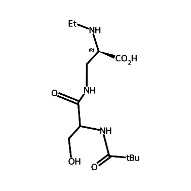 CCN[C@H](CNC(=O)C(CO)NC(=O)C(C)(C)C)C(=O)O